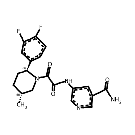 C[C@@H]1CC[C@@H](c2ccc(F)c(F)c2)N(C(=O)C(=O)Nc2cncc(C(N)=O)c2)C1